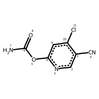 N#Cc1cnc(OC(N)=O)cc1Cl